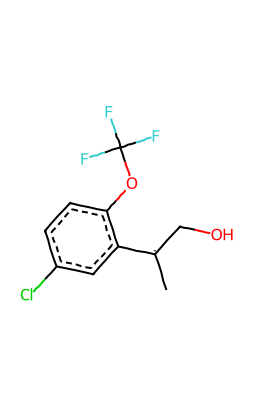 C[C](CO)c1cc(Cl)ccc1OC(F)(F)F